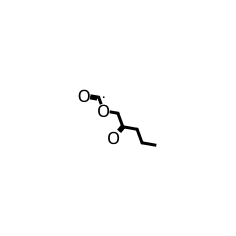 CCCC(=O)CO[C]=O